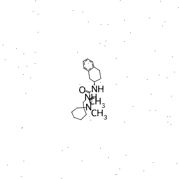 CN(C)C1(CNC(=O)N[C@@H]2CCc3ccccc3C2)CCCCC1